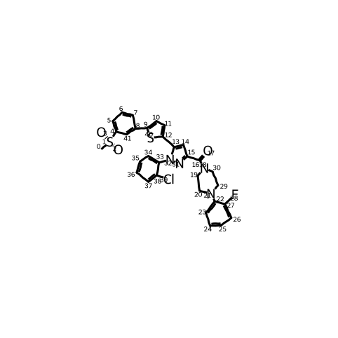 CS(=O)(=O)c1cccc(-c2ccc(-c3cc(C(=O)N4CCN(c5ccccc5F)CC4)nn3-c3ccccc3Cl)s2)c1